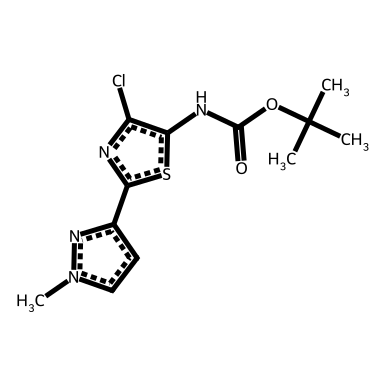 Cn1ccc(-c2nc(Cl)c(NC(=O)OC(C)(C)C)s2)n1